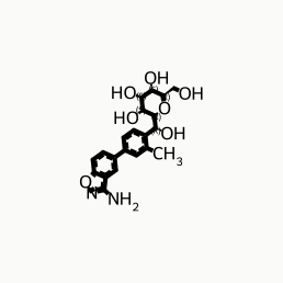 Cc1cc(-c2ccc3onc(N)c3c2)ccc1[C@@H](O)[C@H]1O[C@H](CO)[C@@H](O)[C@H](O)[C@@H]1O